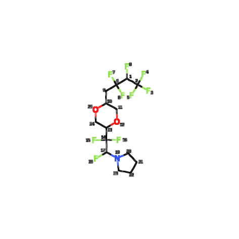 FC(C(F)(F)F)C(F)(F)CC1COC(C(F)(F)C(F)N2CCCC2)CO1